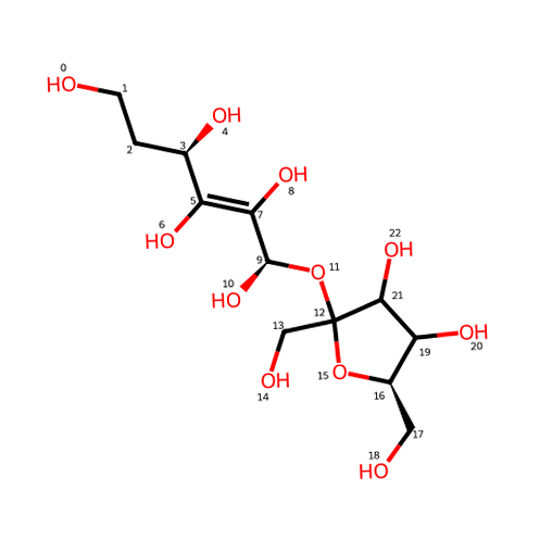 OCC[C@@H](O)/C(O)=C(\O)[C@H](O)OC1(CO)O[C@H](CO)C(O)C1O